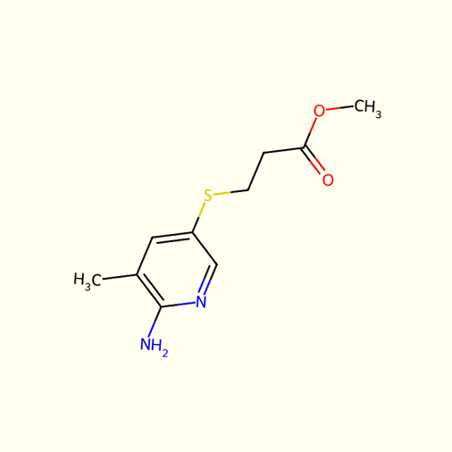 COC(=O)CCSc1cnc(N)c(C)c1